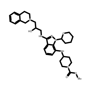 CC(C)(C)OC(=O)N1CCC(Nc2cccc3c(NCC(O)CN4CCc5ccccc5C4)nn(C4CCCCO4)c23)CC1